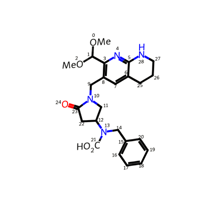 COC(OC)c1nc2c(cc1CN1CC(N(Cc3ccccc3)C(=O)O)CC1=O)CCCN2